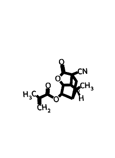 C=C(C)C(=O)OC1C2OC(=O)C3(C#N)CC1[C@@H](C)C23